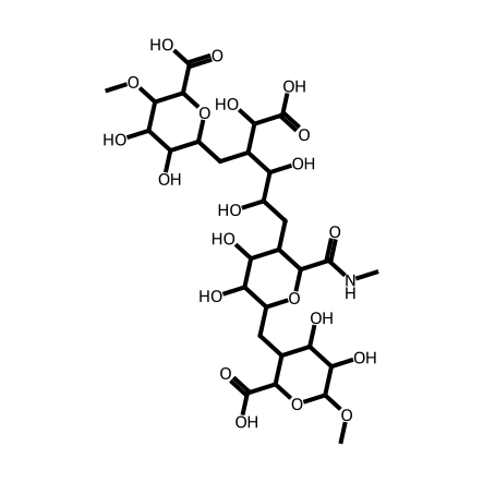 CNC(=O)C1OC(CC2C(C(=O)O)OC(OC)C(O)C2O)C(O)C(O)C1CC(O)C(O)C(CC1OC(C(=O)O)C(OC)C(O)C1O)C(O)C(=O)O